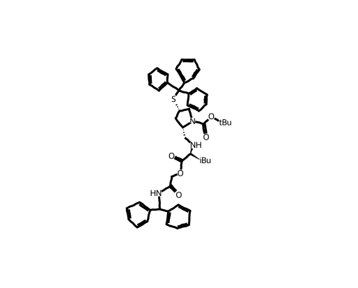 CC[C@H](C)[C@H](NC[C@@H]1C[C@H](SC(c2ccccc2)(c2ccccc2)c2ccccc2)CN1C(=O)OC(C)(C)C)C(=O)OCC(=O)NC(c1ccccc1)c1ccccc1